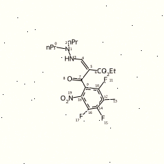 CCCN(CCC)N/C=C(/C(=O)OCC)C(=O)c1c(F)c(C)c(F)c(F)c1[N+](=O)[O-]